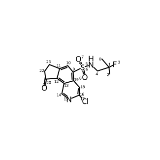 CC(C)(F)CNS(=O)(=O)c1cc2c(c3cnc(Cl)cc13)C(=O)CC2